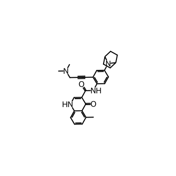 Cc1cccc2[nH]cc(C(=O)Nc3ccc(N4C5CCC4CC5)cc3C#CCN(C)C)c(=O)c12